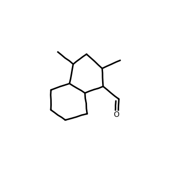 CC1CC(C)C2CCCCC2C1C=O